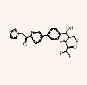 O=C(Cn1ccnc1)c1ccc(-c2ccc([C@@H](O)[C@@H](CF)NC(=O)C(F)F)cc2)cn1